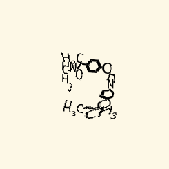 CCNC(=O)C(C)c1ccc(OC2CCN(c3ccc(OC(C)CC)cc3)C2)cc1